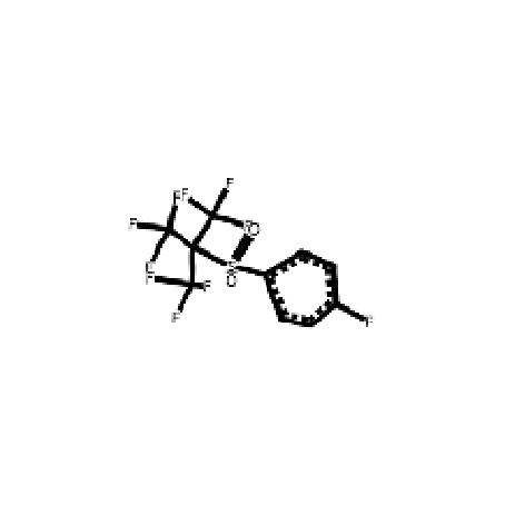 O=S(=O)(c1ccc(F)cc1)C(C(F)(F)F)(C(F)(F)F)C(F)(F)F